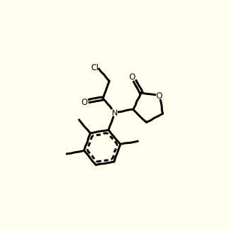 Cc1ccc(C)c(N(C(=O)CCl)C2CCOC2=O)c1C